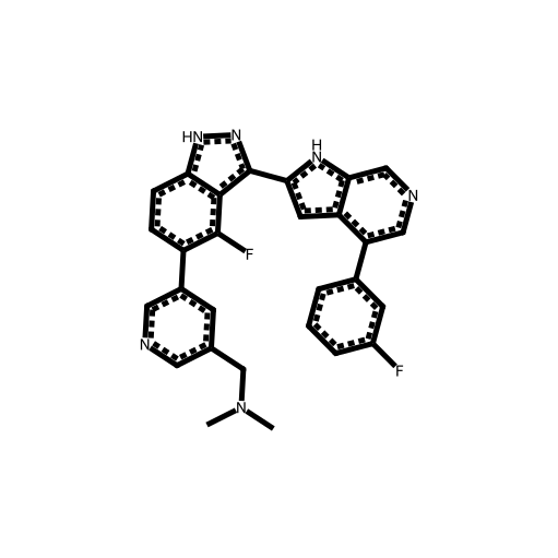 CN(C)Cc1cncc(-c2ccc3[nH]nc(-c4cc5c(-c6cccc(F)c6)cncc5[nH]4)c3c2F)c1